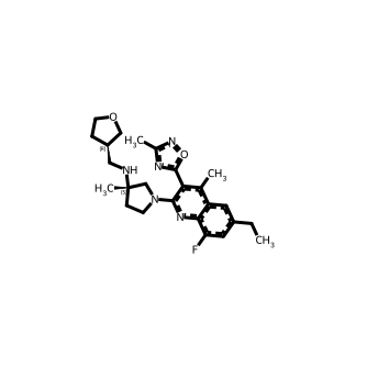 CCc1cc(F)c2nc(N3CC[C@](C)(NC[C@H]4CCOC4)C3)c(-c3nc(C)no3)c(C)c2c1